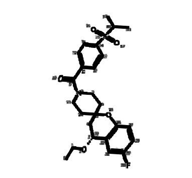 CCO[C@@H]1CC2(CCN(C(=O)c3ccc(S(=O)(=O)C(C)C)cc3)CC2)Oc2ccc(F)cc21